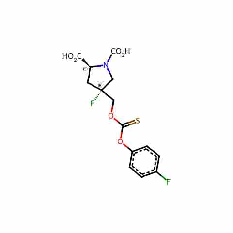 O=C(O)[C@@H]1C[C@](F)(COC(=S)Oc2ccc(F)cc2)CN1C(=O)O